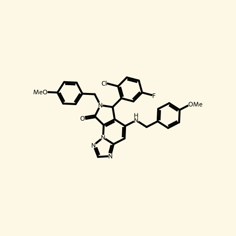 COc1ccc(CNc2cc3ncnn3c3c2C(c2cc(F)ccc2Cl)N(Cc2ccc(OC)cc2)C3=O)cc1